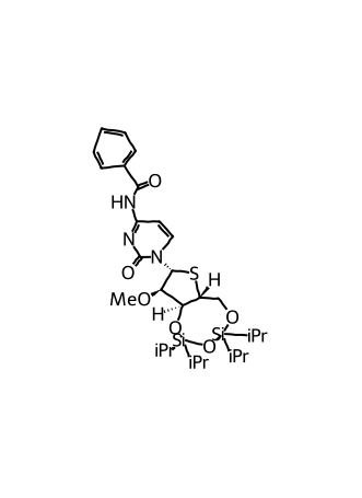 CO[C@@H]1[C@@H]2O[Si](C(C)C)(C(C)C)O[Si](C(C)C)(C(C)C)OC[C@H]2S[C@H]1n1ccc(NC(=O)c2ccccc2)nc1=O